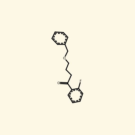 O=C(CCCOCc1ccccc1)c1ccccc1F